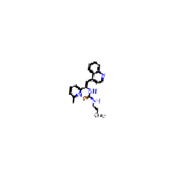 CC(=O)OCCNC(=S)NC(Cc1ccnc2ccccc12)c1cccc(C)n1